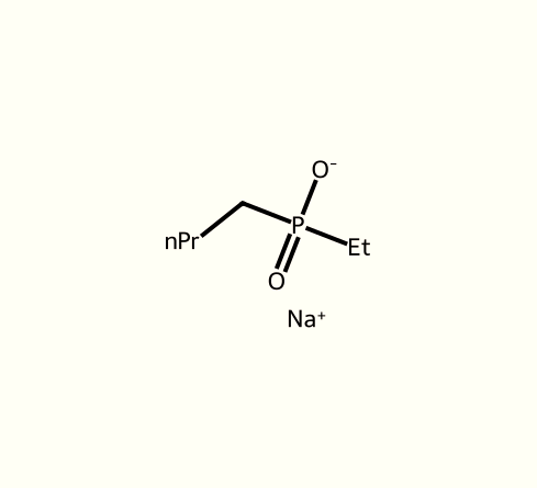 CCCCP(=O)([O-])CC.[Na+]